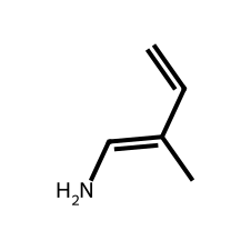 C=CC(C)=CN